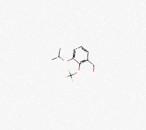 CC(C)Oc1cccc(CO)c1OC(F)(F)F